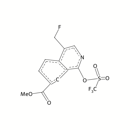 COC(=O)c1ccc2c(CF)cnc(OS(=O)(=O)C(F)(F)F)c2c1